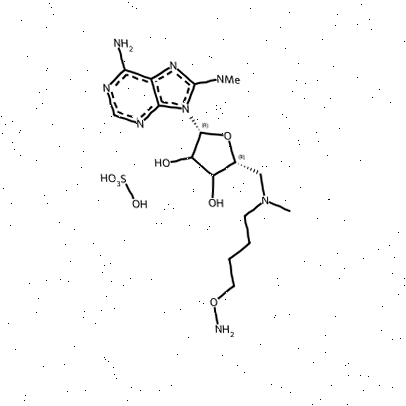 CNc1nc2c(N)ncnc2n1[C@@H]1O[C@H](CN(C)CCCCON)C(O)C1O.O=S(=O)(O)O